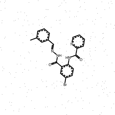 Cc1cccc(C=NNC(=O)c2cc(Br)ccc2NC(=O)c2ccccn2)c1